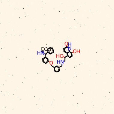 O=C(O)N[C@@H](c1ccccc1)c1cccc(OCc2cccc(CNCC(O)c3ccc(O)c4[nH]c(=O)ccc34)c2)c1